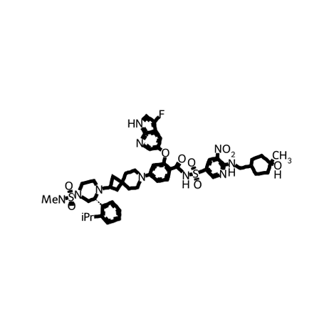 CNS(=O)(=O)N1CCN(C2CC3(CCN(c4ccc(C(=O)NS(=O)(=O)c5cnc(NCC6CCC(C)(O)CC6)c([N+](=O)[O-])c5)c(Oc5cnc6[nH]cc(F)c6c5)c4)CC3)C2)[C@H](c2ccccc2C(C)C)C1